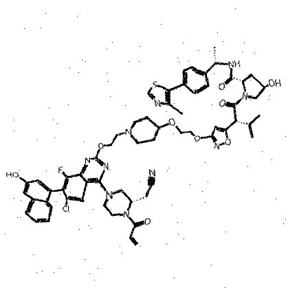 C=CC(=O)N1CCN(c2nc(OCCN3CCC(OCCOc4cc([C@H](C(=O)N5C[C@H](O)C[C@H]5C(=O)N[C@@H](C)c5ccc(-c6scnc6C)cc5)C(C)C)on4)CC3)nc3c(F)c(-c4cc(O)cc5ccccc45)c(Cl)cc23)C[C@@H]1CC#N